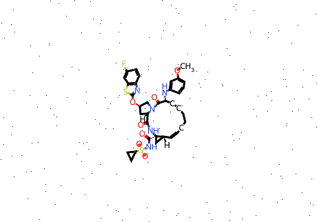 COc1cccc(N[C@H]2CCCCC/C=C\[C@@H]3C[C@@]3(C(=O)NS(=O)(=O)C3CC3)NC(=O)[C@@H]3C[C@@H](Oc4nc5ccc(F)cc5s4)CN3C2=O)c1